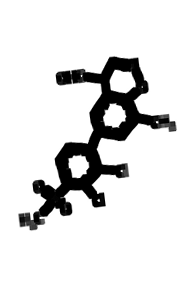 Cc1cc(-c2ccc(S(C)(=O)=O)c(Cl)c2Cl)cc2c1ON=CC2C=O